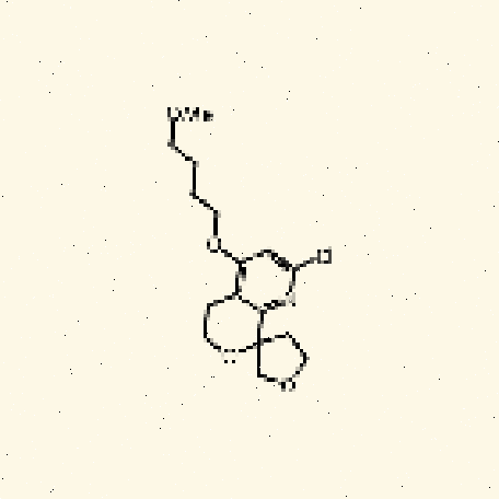 COCCCCOc1cc(Cl)nc2c1CCOC21CCOC1